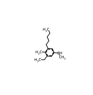 CBc1cc(CC)c(C)c(CCCCC)c1